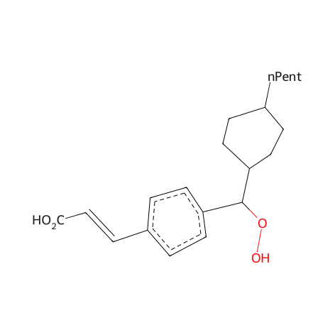 CCCCCC1CCC(C(OO)c2ccc(C=CC(=O)O)cc2)CC1